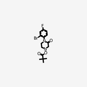 CC(C)(C)C(=O)ON1CCN(c2ccc(F)cc2Br)C(=O)C1